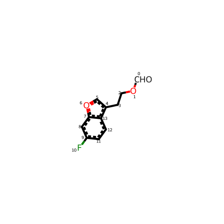 O=COCCc1coc2cc(F)ccc12